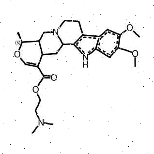 COc1cc2[nH]c3c(c2cc1OC)CCN1CC2C(CC31)C(C(=O)OCCN(C)C)=CO[C@H]2C